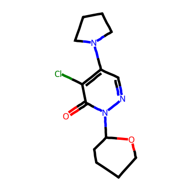 O=c1c(Cl)c(N2CCCC2)cnn1C1CCCCO1